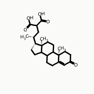 C[C@H](CC(C(=O)O)C(=O)O)[C@H]1CCC2C3CCC4=CC(=O)CC[C@]4(C)C3CC[C@@]21C